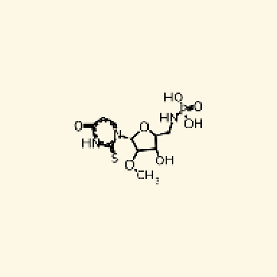 COC1C(O)[C@H](CNP(=O)(O)O)O[C@@H]1n1ccc(=O)[nH]c1=S